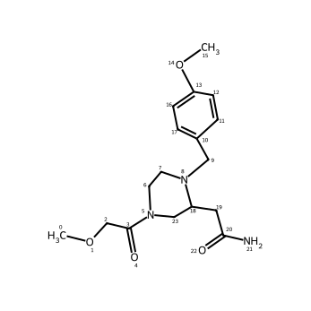 COCC(=O)N1CCN(Cc2ccc(OC)cc2)C(CC(N)=O)C1